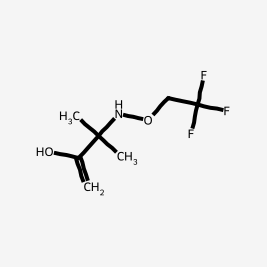 C=C(O)C(C)(C)NOCC(F)(F)F